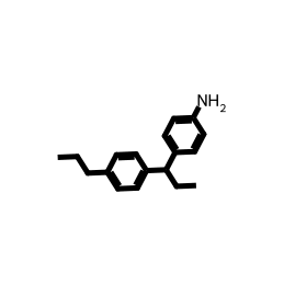 CCCc1ccc(C(CC)c2ccc(N)cc2)cc1